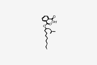 CCCCCCCCC(CC(C)C)OC(=O)c1ccccc1C(=O)O